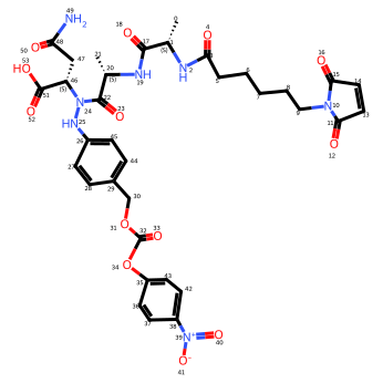 C[C@H](NC(=O)CCCCCN1C(=O)C=CC1=O)C(=O)N[C@@H](C)C(=O)N(Nc1ccc(COC(=O)Oc2ccc([N+](=O)[O-])cc2)cc1)[C@@H](CC(N)=O)C(=O)O